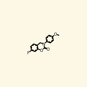 COc1ccc(N2Cc3ccc(F)cc3OC2=O)cc1